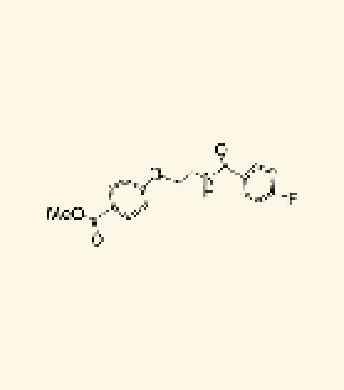 COC(=O)c1ccc(OCCNC(=O)c2ccc(F)cc2)cc1